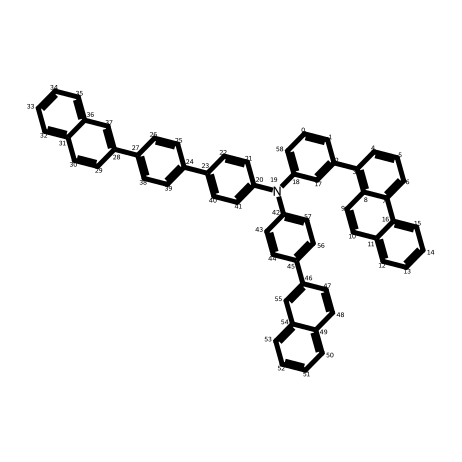 c1cc(-c2cccc3c2ccc2ccccc23)cc(N(c2ccc(-c3ccc(-c4ccc5ccccc5c4)cc3)cc2)c2ccc(-c3ccc4ccccc4c3)cc2)c1